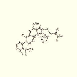 CSc1nc2c(F)c(-c3cccc4c3C(C#N)CC4)ncc2c2c1nc(CCC(=O)N(C)C)n2C1C2CCC1C2